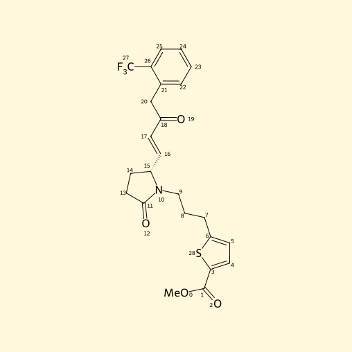 COC(=O)c1ccc(CCCN2C(=O)CC[C@@H]2C=CC(=O)Cc2ccccc2C(F)(F)F)s1